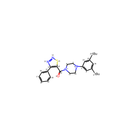 CC(C)(C)c1cc(N2CCN(C(=O)c3snnc3-c3ccccc3)CC2)cc(C(C)(C)C)c1